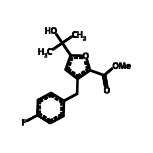 COC(=O)c1oc(C(C)(C)O)cc1Cc1ccc(F)cc1